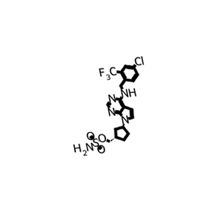 NS(=O)(=O)OC[C@H]1CC[C@H](n2ccc3c(NCc4ccc(Cl)cc4C(F)(F)F)ncnc32)C1